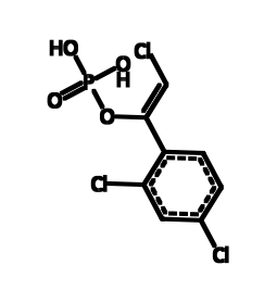 O=P(O)(O)OC(=CCl)c1ccc(Cl)cc1Cl